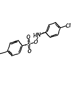 Cc1ccc(S(=O)(=O)ONc2ccc(Cl)cc2)cc1